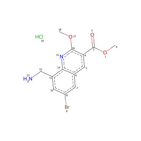 COC(=O)c1cc2cc(Br)cc(CN)c2nc1OC.Cl